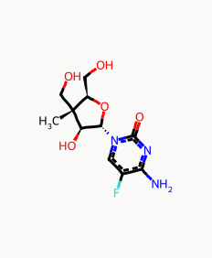 C[C@]1(CO)[C@H](O)[C@@H](n2cc(F)c(N)nc2=O)O[C@@H]1CO